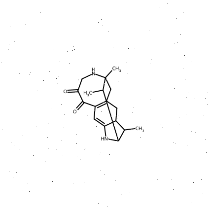 CC1C2CC3=C4C=C2NC1C(C)C(C)(C3)NCC(=O)C4=O